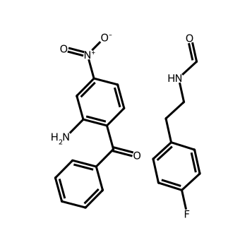 Nc1cc([N+](=O)[O-])ccc1C(=O)c1ccccc1.O=CNCCc1ccc(F)cc1